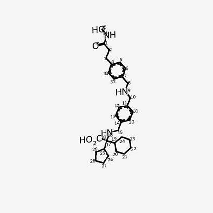 O=C(CCc1ccc(CNCc2ccc(CN[C@](C(=O)O)(C3CCCCC3)C3CCCC3)cc2)cc1)NO